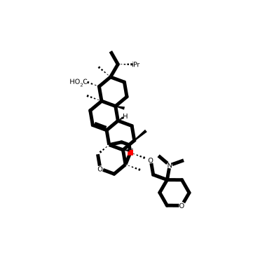 CC(C)[C@@H](C)[C@@]1(C)CC[C@]2(C)[C@H]3CC[C@@H]4[C@@]5(COC[C@]4(C)[C@@H](OCC4(N(C)C)CCOCC4)[C@H](C)C5)C3=CC[C@@]2(C)[C@@H]1C(=O)O